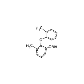 COc1cccc(C)c1Oc1ccccc1C